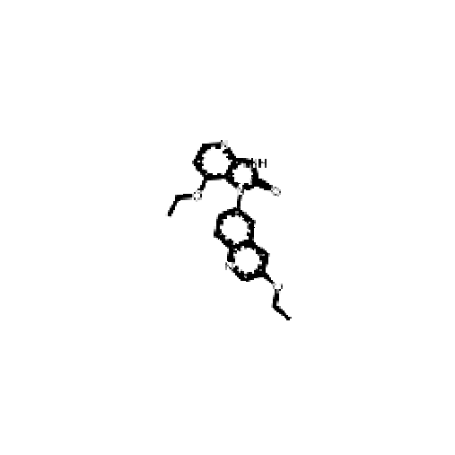 CCOc1cnc2ccc(-n3c(=O)[nH]c4nccc(OCC)c43)cc2c1